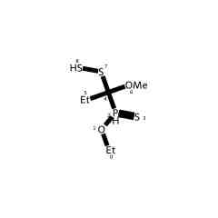 CCO[PH](=S)C(CC)(OC)SS